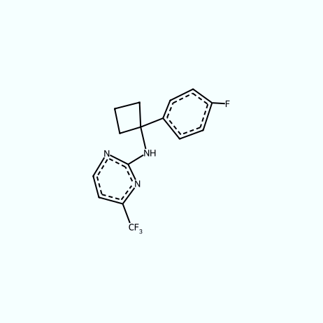 Fc1ccc(C2(Nc3nccc(C(F)(F)F)n3)CCC2)cc1